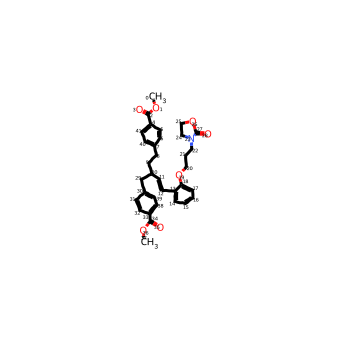 COC(=O)c1ccc(CCC(/C=C/c2ccccc2OCCCN2CCOC2=O)Cc2ccc(C(=O)OC)cc2)cc1